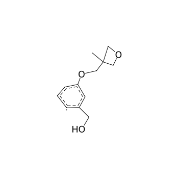 CC1(COc2cc[c]c(CO)c2)COC1